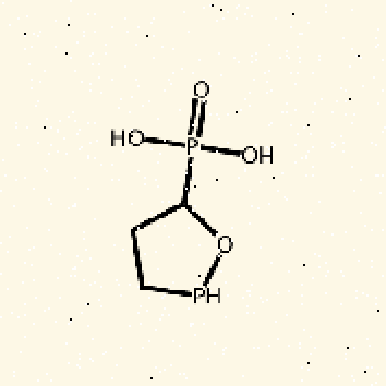 O=P(O)(O)C1CCPO1